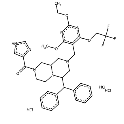 CCOc1nc(OC)c(CN2CC3CN(C(=O)c4c[nH]cn4)CCN3C(C(c3ccccc3)c3ccccc3)C2)c(OCC(F)(F)F)n1.Cl.Cl.Cl